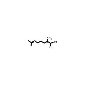 CC(C)=NCCC[C@@H](N)C(O)O